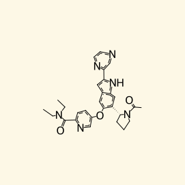 CCN(CC)C(=O)c1ccc(Oc2cc3cc(-c4cnccn4)[nH]c3cc2[C@H]2CCCN2C(C)=O)cn1